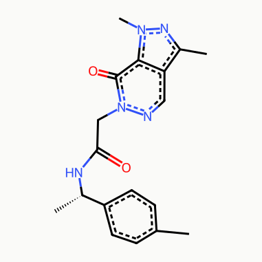 Cc1ccc([C@H](C)NC(=O)Cn2ncc3c(C)nn(C)c3c2=O)cc1